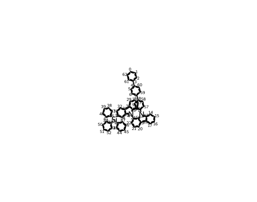 c1ccc(-c2ccc(-c3ccc(-n4c5ccccc5c5cccc(-n6c7ccccc7c7ccc([Si](c8ccccc8)(c8ccccc8)c8ccccc8)cc76)c54)cc3)cc2)cc1